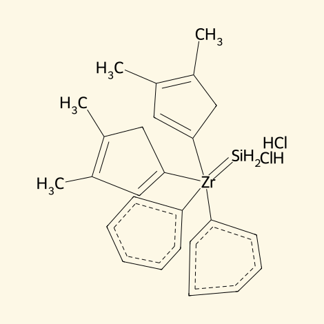 CC1=C(C)C[C]([Zr](=[SiH2])([C]2=CC(C)=C(C)C2)([c]2ccccc2)[c]2ccccc2)=C1.Cl.Cl